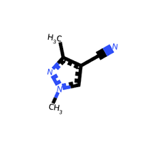 Cc1nn(C)cc1C#N